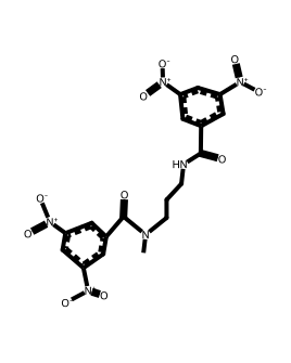 CN(CCCNC(=O)c1cc([N+](=O)[O-])cc([N+](=O)[O-])c1)C(=O)c1cc([N+](=O)[O-])cc([N+](=O)[O-])c1